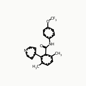 Cc1ccc(C)c(-c2ccncc2)c1C(=O)Nc1ccc(OC(F)(F)F)cc1